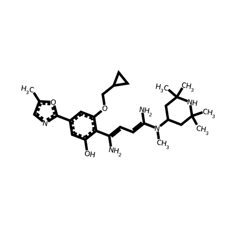 Cc1cnc(-c2cc(O)c(/C(N)=C/C=C(\N)N(C)C3CC(C)(C)NC(C)(C)C3)c(OCC3CC3)c2)o1